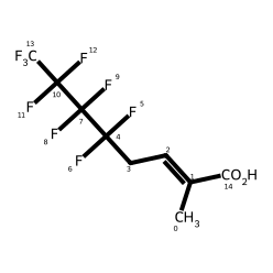 CC(=CCC(F)(F)C(F)(F)C(F)(F)C(F)(F)F)C(=O)O